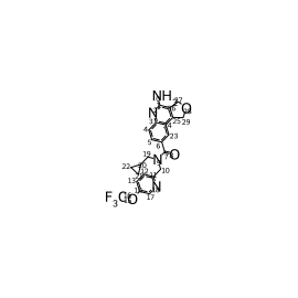 Nc1nc2ccc(C(=O)N(Cc3ccc(OC(F)(F)F)cn3)CC3CC3)cc2c2c1COC2